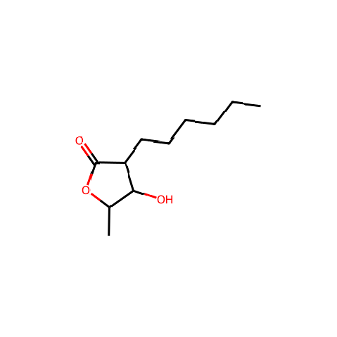 CCCCCCC1C(=O)OC(C)C1O